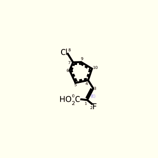 O=C(O)/C(F)=C\c1ccc(Cl)cc1